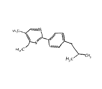 Cc1cnc(-c2ccc(CC(C)C)cc2)nc1C